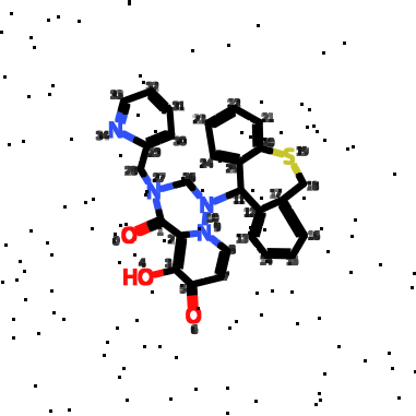 O=C1c2c(O)c(=O)ccn2N(C2c3ccccc3CSc3ccccc32)CN1Cc1ccccn1